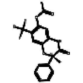 CC(=O)Oc1cc2c(cc1C(F)(F)F)O[C@@](C)(c1ccccc1)C(=O)N2